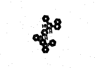 C1=Cc2ccccc2C(C2=CC(c3ccccc3)NC(C3=CC=C(n4c5ccccc5c5cc6c7ccccc7n(-c7ccccc7)c6cc54)NC3)N2)C1